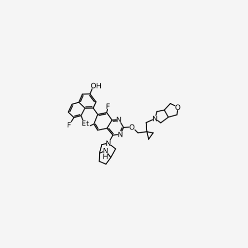 CCc1c(F)ccc2cc(O)cc(-c3c(C)cc4c(N5CC6CCC(C5)N6)nc(OCC5(CN6CC7COCC7C6)CC5)nc4c3F)c12